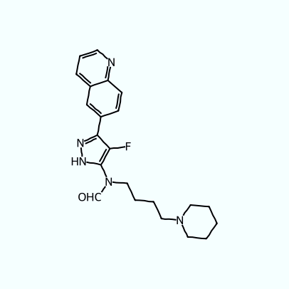 O=CN(CCCCN1CCCCC1)c1[nH]nc(-c2ccc3ncccc3c2)c1F